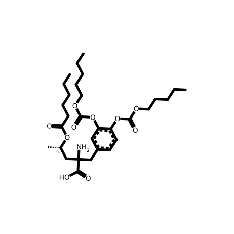 CCCCCOC(=O)Oc1ccc(CC(N)(C[C@H](C)OC(=O)CCCCC)C(=O)O)cc1OC(=O)OCCCCC